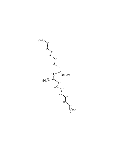 CCCCCCCCCCCCCCCCCC(CCCCCC)SC(CCCCCC)CCCCCCCCCCCCCCCCC